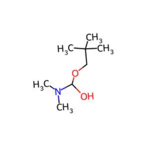 CN(C)C(O)OCC(C)(C)C